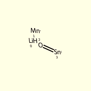 [LiH].[Mn].[O]=[Sn]